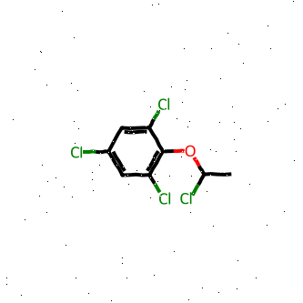 CC(Cl)Oc1c(Cl)cc(Cl)cc1Cl